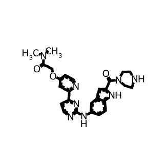 CN(C)C(=O)COc1ccnc(-c2ccnc(Nc3ccc4[nH]c(C(=O)N5CCNCC5)cc4c3)n2)c1